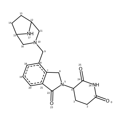 O=C1CCC(N2Cc3c(CN4CC5CCC(C4)N5)cccc3C2=O)C(=O)N1